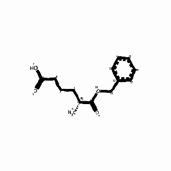 C[C@H](CCCC(=O)O)C(=O)OCc1ccccc1